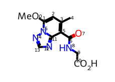 COc1cc(C)c(C(=O)NCC(=O)O)c2ncnn12